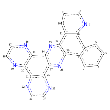 c1ccc2c(c1)c1ncccc1c1nc3c4nccnc4c4nccnc4c3nc21